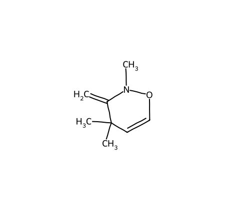 C=C1N(C)OC=CC1(C)C